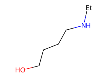 [CH2]CNCCCCO